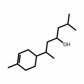 CC1=CCC(C(C)CC(O)CC(C)C)CC1